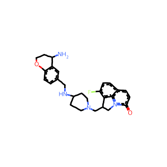 NC1CCOc2ccc(CNC3CCN(CC4Cn5c(=O)ccc6ccc(F)c4c65)CC3)cc21